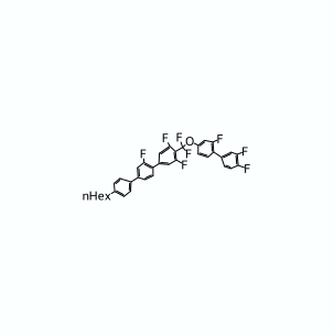 CCCCCCc1ccc(-c2ccc(-c3cc(F)c(C(F)(F)Oc4ccc(-c5ccc(F)c(F)c5)c(F)c4)c(F)c3)c(F)c2)cc1